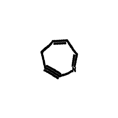 C1#CN=CC=CC1